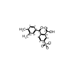 Cc1ccc(C(=O)c2ccc(S(=O)(=O)Cl)cc2C(=O)O)cc1C